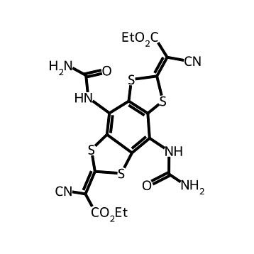 [C-]#[N+]C(C(=O)OCC)=C1Sc2c(NC(N)=O)c3c(c(NC(N)=O)c2S1)SC(=C(C#N)C(=O)OCC)S3